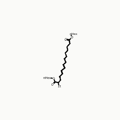 CCCCCCOC(=O)CCCCCCCCCCCCCC(CC)C(=O)OCCCCCC